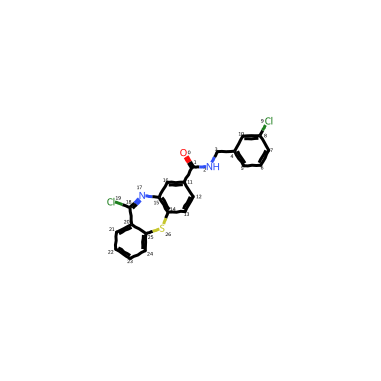 O=C(NCc1cccc(Cl)c1)c1ccc2c(c1)N=C(Cl)c1ccccc1S2